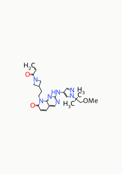 C=CC(=O)N1CC(CCn2c(=O)ccc3cnc(Nc4cnn(C(C)(C)COC)c4)nc32)C1